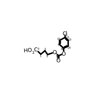 O=C(O)CCCOC(=O)Oc1ccc(Cl)cc1